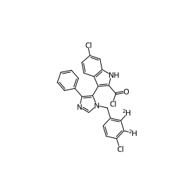 [2H]c1c(Cl)ccc(Cn2cnc(-c3ccccc3)c2-c2c(C(=O)Cl)[nH]c3cc(Cl)ccc23)c1[2H]